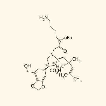 CCCCN(CCCCN)C(=O)CN1C[C@H](c2cc(CO)c3c(c2)OCO3)[C@@H](C(=O)O)[C@@H]1CC(C)(C)C=C(C)C